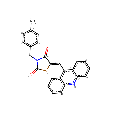 O=C1S/C(=C\c2c3ccccc3nc3ccccc23)C(=O)N1Cc1ccc([N+](=O)[O-])cc1